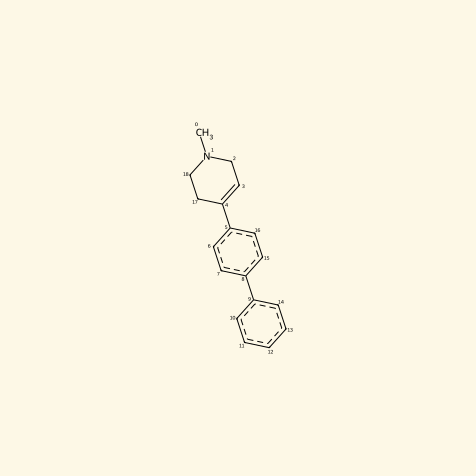 CN1CC=C(c2ccc(-c3ccccc3)cc2)CC1